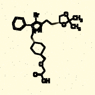 CC1(C)OC[C@@H](CCc2nn(C[C@H]3CC[C@H](COCC(=O)O)CC3)c(-c3ccccc3)c2Br)O1